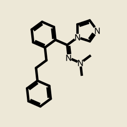 CN(C)N=C(c1ccccc1CCc1ccccc1)n1ccnc1